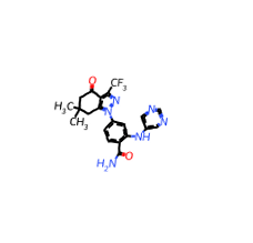 CC1(C)CC(=O)c2c(C(F)(F)F)nn(-c3ccc(C(N)=O)c(Nc4cncnc4)c3)c2C1